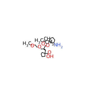 COCCOCC(=CC1(C(=O)O)CCCC1)C(=O)OC(C)(C)C.NC1CCCCC1